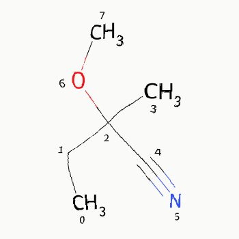 CCC(C)(C#N)OC